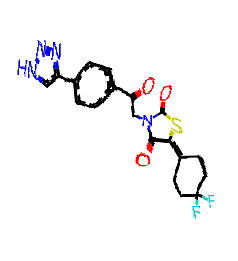 O=C(CN1C(=O)SC(=C2CCC(F)(F)CC2)C1=O)c1ccc(-c2c[nH]nn2)cc1